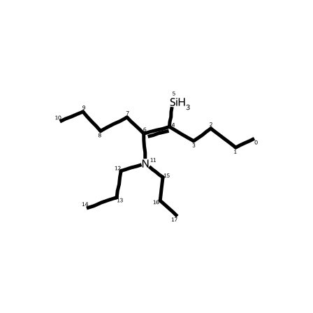 CCCCC([SiH3])=C(CCCC)N(CCC)CCC